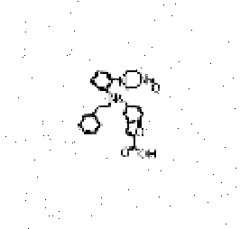 O=CN1CCN(c2ccccc2N(CCc2ccccc2)Sc2ccc3oc(C(=O)O)cc3c2)CC1